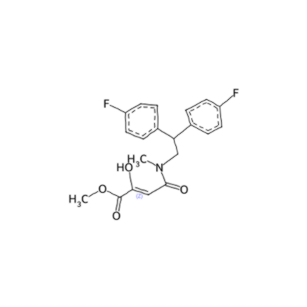 COC(=O)/C(O)=C/C(=O)N(C)CC(c1ccc(F)cc1)c1ccc(F)cc1